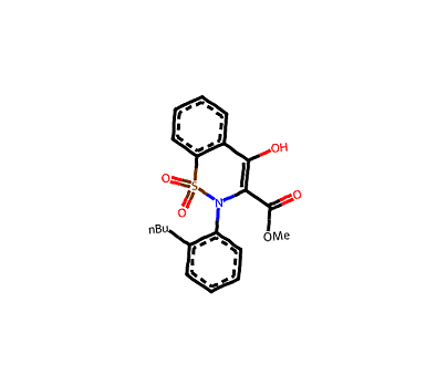 CCCCc1ccccc1N1C(C(=O)OC)=C(O)c2ccccc2S1(=O)=O